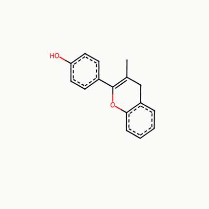 CC1=C(c2ccc(O)cc2)Oc2ccccc2C1